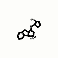 CCCC.CCCC1=[C]([Ti][c]2cccc3c2Cc2ccccc2-3)CC=C1